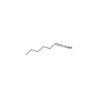 CCCCCC=C=N